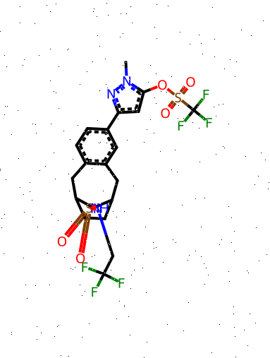 Cn1nc(-c2ccc3c(c2)CC2CCC(C3)C23CN(CC(F)(F)F)S(=O)(=O)N3)cc1OS(=O)(=O)C(F)(F)F